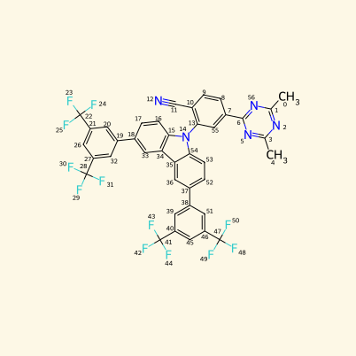 Cc1nc(C)nc(-c2ccc(C#N)c(-n3c4ccc(-c5cc(C(F)(F)F)cc(C(F)(F)F)c5)cc4c4cc(-c5cc(C(F)(F)F)cc(C(F)(F)F)c5)ccc43)c2)n1